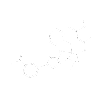 COC(=O)C1=C(C)NC(C)C(Nc2nc(-c3cccc([N+](=O)[O-])c3)cs2)(C(=O)OC)C1c1ccccc1